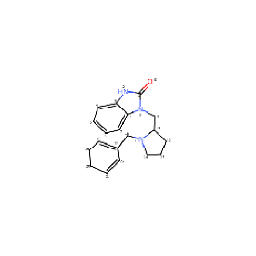 O=c1[nH]c2ccccc2n1CC1CCCN1CC1=CCCC=C1